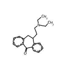 CCN(CC)CCC1Cc2ccccc2C(=O)c2ccccc21